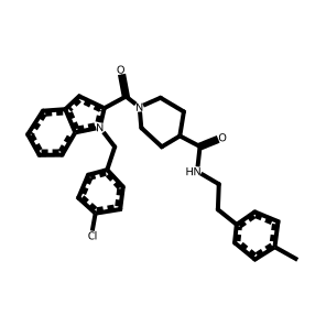 Cc1ccc(CCNC(=O)C2CCN(C(=O)c3cc4ccccc4n3Cc3ccc(Cl)cc3)CC2)cc1